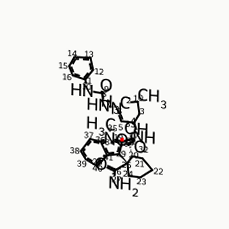 CC(C)CC(C=NNC(=O)Nc1ccccc1)NC(=O)[C@@H]1CCCC[C@@]1(C(N)=O)c1c(C(=O)O)n(C)c2ccccc12